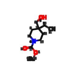 CC(C)(C)OC(=O)N1CCC(CO)(CC#N)CC1